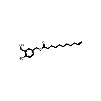 C=CCCCCCCCCC(=O)OCc1ccc(O)c(CO)c1